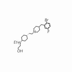 CCN(CCO)[C@H]1CC[C@H](CCN2CCC(Cc3cc(F)ccc3Br)CC2)CC1